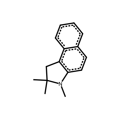 CN1c2ccc3ccccc3c2CC1(C)C